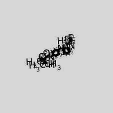 CC1(C)C(C(=O)Nc2ccc(Nc3cccc4nc(C(F)(F)F)cn34)cc2)C1(C)C